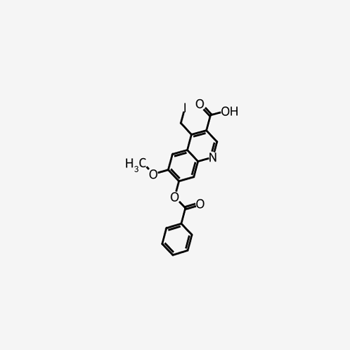 COc1cc2c(CI)c(C(=O)O)cnc2cc1OC(=O)c1ccccc1